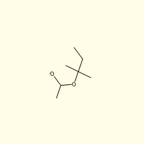 CCC(C)(C)OC(C)[O]